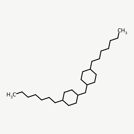 CCCCCCCC1CCC(CC2CCC(CCCCCCC)CC2)CC1